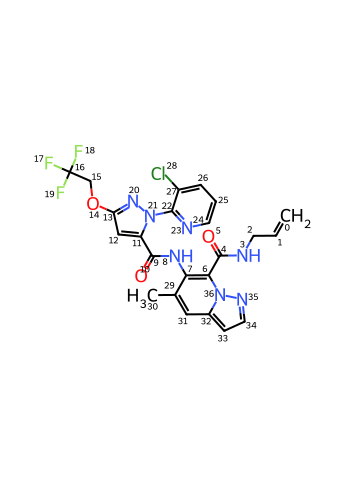 C=CCNC(=O)c1c(NC(=O)c2cc(OCC(F)(F)F)nn2-c2ncccc2Cl)c(C)cc2ccnn12